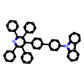 c1ccc(-c2nc(-c3ccccc3)c(-c3ccccc3)c(-c3ccc(-c4ccc(-n5c6ccccc6c6ccccc65)cc4)cc3)c2-c2ccccc2)cc1